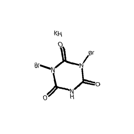 O=c1[nH]c(=O)n(Br)c(=O)n1Br.[KH]